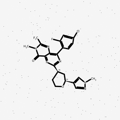 Cn1cc([C@@H]2C[C@H](c3nc(-c4ccc(Cl)cc4F)c4nc(C(F)(F)F)n(C)c(=O)c4n3)CCO2)cn1